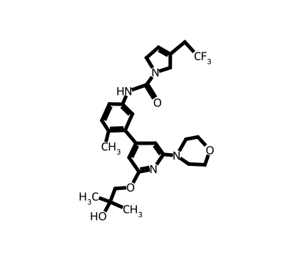 Cc1ccc(NC(=O)N2CC=C(CC(F)(F)F)C2)cc1-c1cc(OCC(C)(C)O)nc(N2CCOCC2)c1